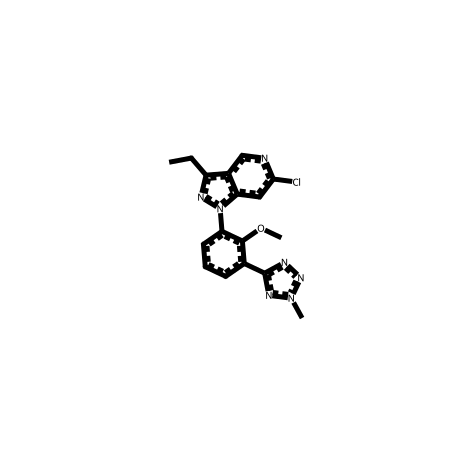 CCc1nn(-c2cccc(-c3nnn(C)n3)c2OC)c2cc(Cl)ncc12